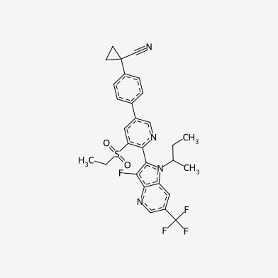 CCC(C)n1c(-c2ncc(-c3ccc(C4(C#N)CC4)cc3)cc2S(=O)(=O)CC)c(F)c2ncc(C(F)(F)F)cc21